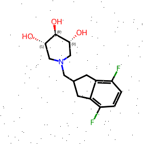 O[C@H]1[C@H](O)CN(CC2Cc3c(F)ccc(F)c3C2)C[C@@H]1O